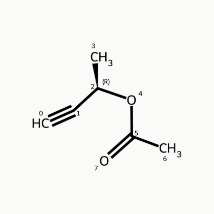 C#C[C@@H](C)OC(C)=O